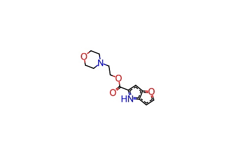 O=C(OCCN1CCOCC1)c1cc2occc2[nH]1